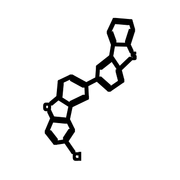 Clc1ccc2oc3ccc(-c4ccc5sc6ccccc6c5c4)cc3c2c1